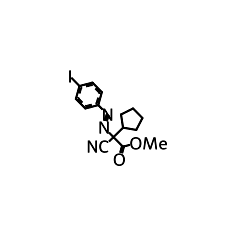 COC(=O)C(C#N)(/N=N/c1ccc(I)cc1)C1CCCC1